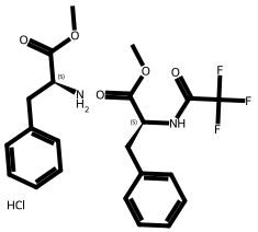 COC(=O)[C@@H](N)Cc1ccccc1.COC(=O)[C@H](Cc1ccccc1)NC(=O)C(F)(F)F.Cl